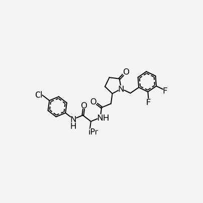 CC(C)C(NC(=O)CC1CCC(=O)N1Cc1cccc(F)c1F)C(=O)Nc1ccc(Cl)cc1